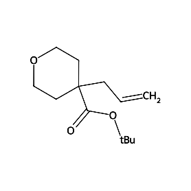 C=CCC1(C(=O)OC(C)(C)C)CCOCC1